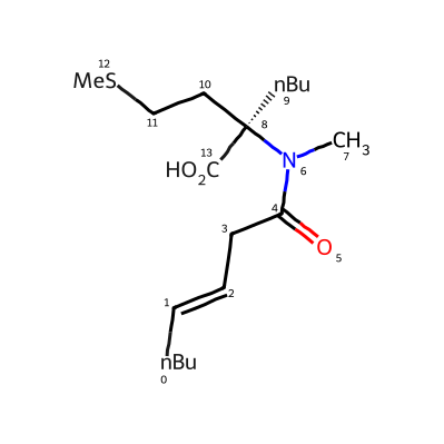 CCCC/C=C/CC(=O)N(C)[C@](CCCC)(CCSC)C(=O)O